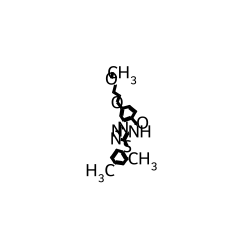 COCCCOc1ccc2c(=O)[nH]c3c(Sc4ccc(C)cc4C)nnn3c2c1